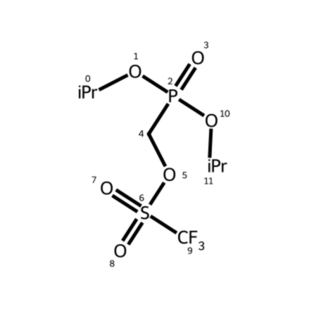 CC(C)OP(=O)(COS(=O)(=O)C(F)(F)F)OC(C)C